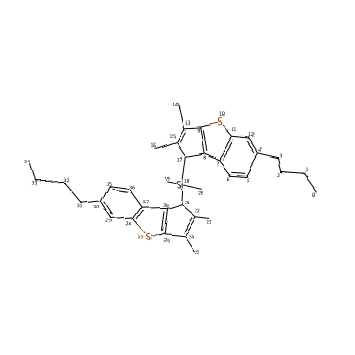 CCCCc1ccc2c3c(sc2c1)C(C)=C(C)C3[Si](C)(C)C1C(C)=C(C)c2sc3cc(CCCC)ccc3c21